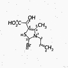 C=CCN1C(C)=C(C(O)C(=O)O)SC1Br